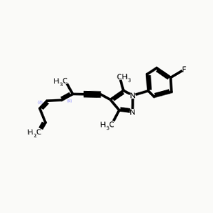 C=C/C=C\C=C(/C)C#Cc1c(C)nn(-c2ccc(F)cc2)c1C